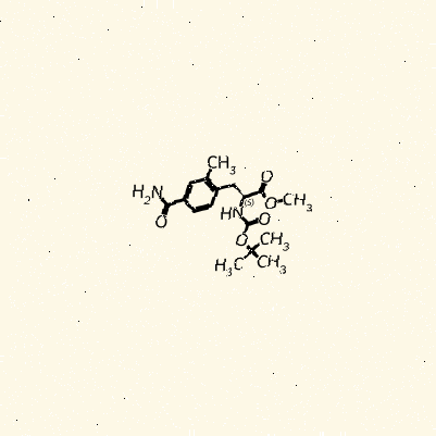 COC(=O)[C@H](Cc1ccc(C(N)=O)cc1C)NC(=O)OC(C)(C)C